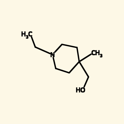 CCN1CCC(C)(CO)CC1